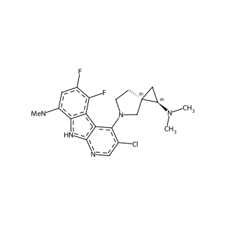 CNc1cc(F)c(F)c2c1[nH]c1ncc(Cl)c(N3CC[C@@]4(C[C@H]4N(C)C)C3)c12